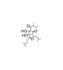 CCC(C)C(=O)C1=C(O)C(O)(C(=O)CCC(C)C)[C@H](CCC(C)C)C1=O